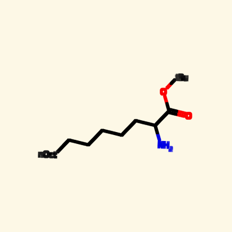 CCCCCCCCCCCCCC(N)C(=O)OC(C)(C)C